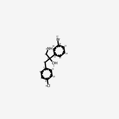 NCC(O)(Cc1ccc(Cl)cc1)c1cccc(Br)c1